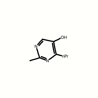 CCCc1nc(C)ncc1O